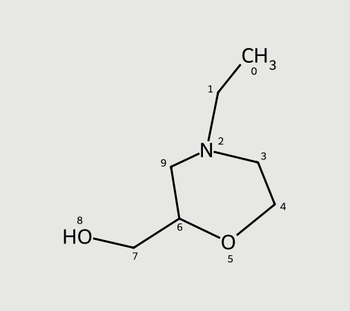 CCN1CCOC(CO)C1